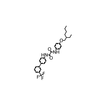 CCCCC(CC)COc1ccc(NC(=O)C(=O)Nc2ccc(-c3cccc(C(F)(F)F)c3)cc2)cc1